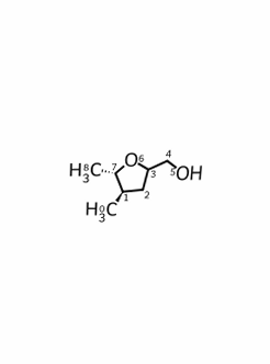 C[C@@H]1CC(CO)O[C@H]1C